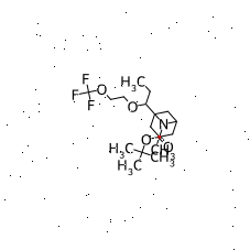 CCC(OCCOC(F)(F)F)C12CC(C)CC(C1)N2C(=O)OC(C)(C)C